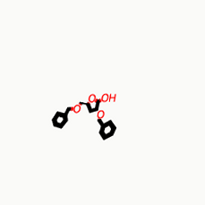 OC1O[C@H](COCc2ccccc2)C[C@H]1OCc1ccccc1